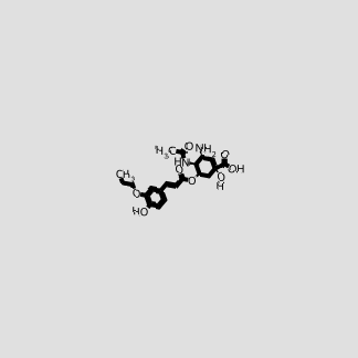 CCCOc1cc(/C=C/C(=O)O[C@@H]2C[C@](O)(C(=O)O)C[C@@H](N)[C@@H]2NC(C)=O)ccc1O